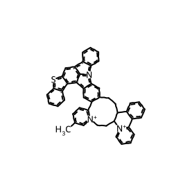 Cc1ccc2[n+](c1)CCC1C(CCc3cc4c(cc3-2)c2c3c(cc5c6ccccc6n4c52)sc2ccccc23)c2ccccc2-c2cccc[n+]21